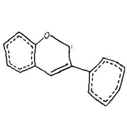 [C]1Oc2ccccc2C=C1c1ccccc1